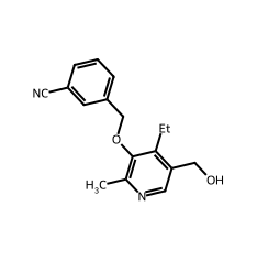 CCc1c(CO)cnc(C)c1OCc1cccc(C#N)c1